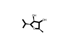 CC(C)[C@@H]1O[C@H](C)C(O)[C@@H]1O